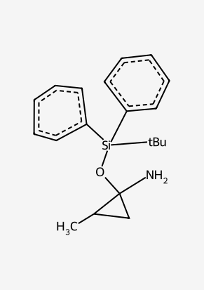 CC1CC1(N)O[Si](c1ccccc1)(c1ccccc1)C(C)(C)C